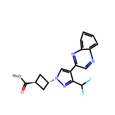 COC(=O)[C@H]1C[C@H](n2cc(-c3cnc4ccccc4n3)c(C(F)F)n2)C1